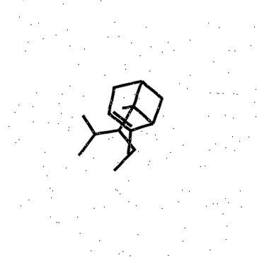 CCC(C(C)C)C1(C)C2CC=C(C)C1C2